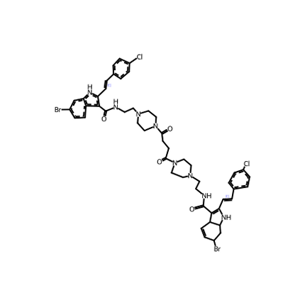 O=C(NCCN1CCN(C(=O)CCC(=O)N2CCN(CCNC(=O)c3c(/C=C/c4ccc(Cl)cc4)[nH]c4cc(Br)ccc34)CC2)CC1)C1=C(/C=C/c2ccc(Cl)cc2)NC2CC(Br)C=CC12